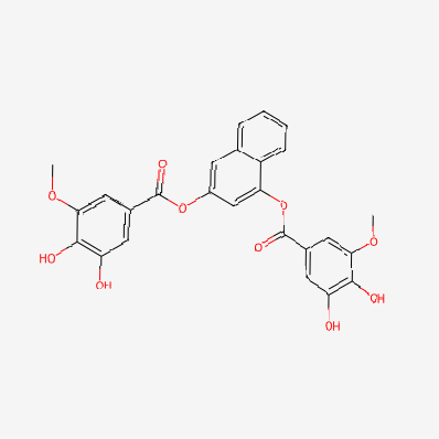 COc1cc(C(=O)Oc2cc(OC(=O)c3cc(O)c(O)c(OC)c3)c3ccccc3c2)cc(O)c1O